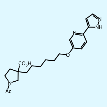 CC(=O)N1CCC(CCCCCCOc2ccc(-c3ccn[nH]3)nc2)(C(=O)O)C1